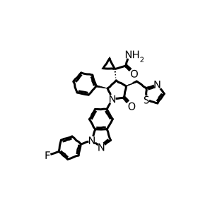 NC(=O)C1([C@@H]2[C@@H](Cc3nccs3)C(=O)N(c3ccc4c(cnn4-c4ccc(F)cc4)c3)[C@H]2c2ccccc2)CC1